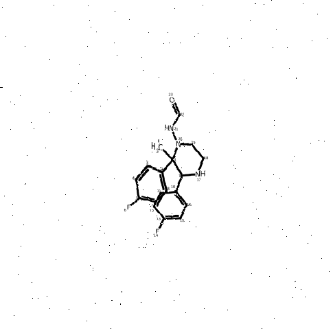 CC1(c2ccc(F)cc2)C(c2ccc(F)cc2)NCCN1N[C]=O